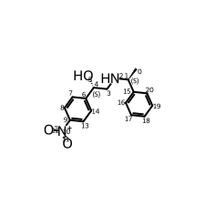 C[C@H](NC[C@@H](O)c1ccc([N+](=O)[O-])cc1)c1ccccc1